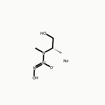 C[C@@H](CO)N(C)[N+]([O-])=NO.[Na]